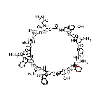 CCCC[C@H]1C(=O)N(C)[C@@H](CCCC)C(=O)N[C@@H](CC(C)C)C(=O)N[C@H](C(=O)NCC(N)=O)CSCC(=O)N[C@@H](Cc2ccc(O)cc2)C(=O)N(C)[C@@H](C)C(=O)N[C@@H](CC(N)=O)C(=O)N2CCCC2C(=O)N[C@@H](CN)C(=O)N[C@@H](Cc2ccccc2)C(=O)N2C[C@H](O)C[C@H]2C(=O)N[C@@H](Cc2c[nH]c3ccccc23)C(=O)N[C@@H](CCN)C(=O)N[C@@H](Cc2cn(CC(=O)O)c3ccccc23)C(=O)N1C